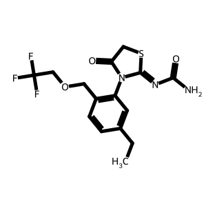 CCc1ccc(COCC(F)(F)F)c(N2C(=O)CSC2=NC(N)=O)c1